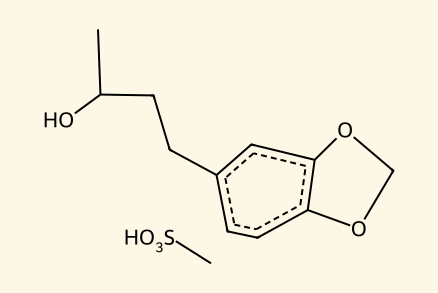 CC(O)CCc1ccc2c(c1)OCO2.CS(=O)(=O)O